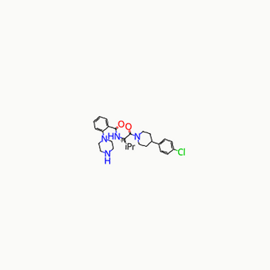 CC(C)[C@@H](NC(=O)c1ccccc1N1CCNCC1)C(=O)N1CCC(c2ccc(Cl)cc2)CC1